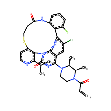 C=CC(=O)N1CCN(c2nc(=O)n3c4nc(c(Cl)cc24)-c2c(F)cccc2NC(=O)CCSc2ccnc(C(C)C)c2-3)[C@@H](C)[C@H]1C